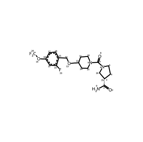 NC(=O)[C@H]1CCN(C(=O)N2CCC(OCc3ccc(OC(F)(F)F)cc3F)CC2)C1